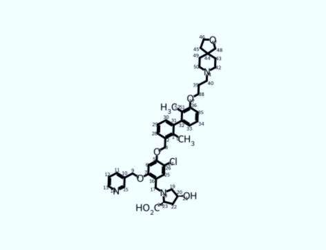 Cc1c(COc2cc(OCc3cccnc3)c(CN3C[C@@H](O)C[C@H]3C(=O)O)cc2Cl)cccc1-c1cccc(OCCCN2CCC3(CCOC3)CC2)c1C